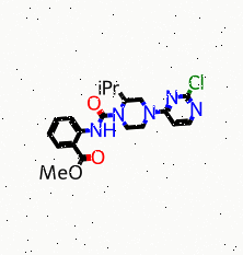 COC(=O)c1ccccc1NC(=O)N1CCN(c2ccnc(Cl)n2)CC1C(C)C